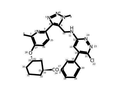 Cc1nc(-c2nnn(C)c2CNc2cc(-c3ccccc3)c(Cl)nn2)ccc1O[C@H]1CCC[C@H](C(=O)O)C1